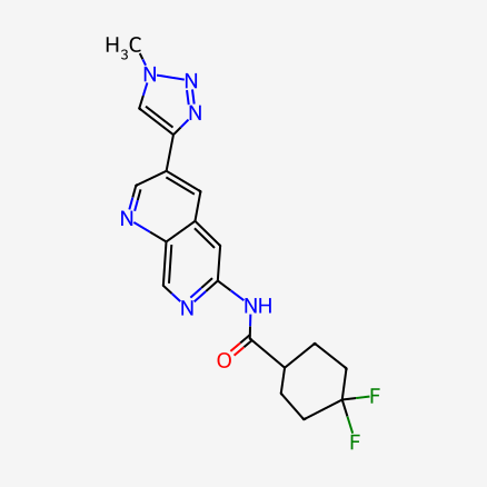 Cn1cc(-c2cnc3cnc(NC(=O)C4CCC(F)(F)CC4)cc3c2)nn1